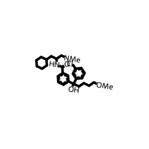 CNCC(CC1CCCCC1)NC(=O)c1cccc(C(O)(CCCCOC)c2cccc(Cl)c2)c1